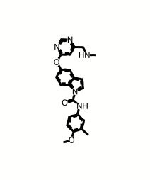 CNCc1cc(Oc2ccc3c(ccn3C(=O)Nc3ccc(OC)c(C)c3)c2)ncn1